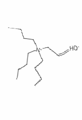 C=CC[N+](CCCC)(CCCC)CCCC.[OH-]